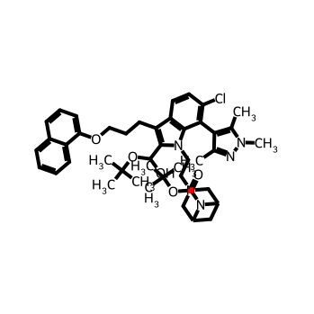 Cc1nn(C)c(C)c1-c1c(Cl)ccc2c(CCCOc3cccc4ccccc34)c(C(O)OC(C)(C)C)n(CCN3CC4CC(C3)N4C(=O)OC(C)(C)C)c12